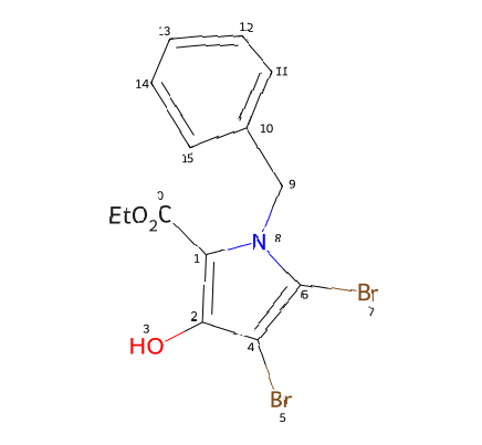 CCOC(=O)c1c(O)c(Br)c(Br)n1Cc1ccccc1